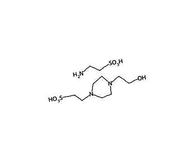 NCCS(=O)(=O)O.O=S(=O)(O)CCN1CCN(CCO)CC1